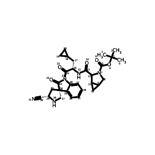 CC(C)(C)OC(=O)N1CC2CC2C1C(=O)N[C@@H](CC1CC1)C(=O)N1C(=O)[C@@]2(CN[C@H](C#N)C2)c2ccccc21